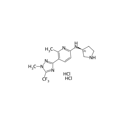 Cc1nc(N[C@H]2CCNC2)ccc1-c1nc(C(F)(F)F)n(C)n1.Cl.Cl